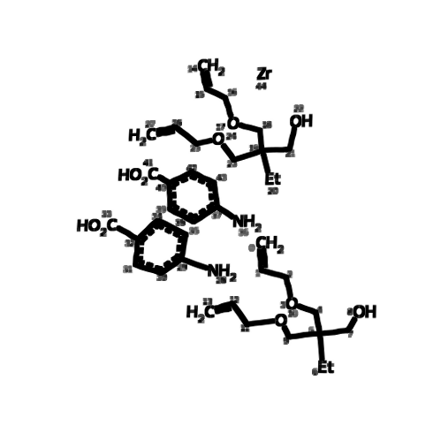 C=CCOCC(CC)(CO)COCC=C.C=CCOCC(CC)(CO)COCC=C.Nc1ccc(C(=O)O)cc1.Nc1ccc(C(=O)O)cc1.[Zr]